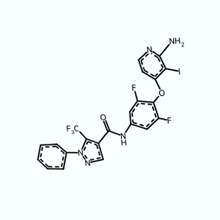 Nc1nccc(Oc2c(F)cc(NC(=O)c3cnn(-c4ccccc4)c3C(F)(F)F)cc2F)c1I